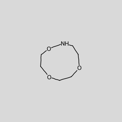 C1COCCOCCON1